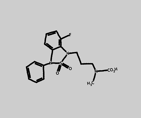 CN(CCCN1c2c(F)cccc2N(c2ccccc2)S1(=O)=O)C(=O)O